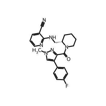 Cn1cc(-c2ccc(F)cc2)c(C(=O)N2CCCC[C@H]2CNc2ncccc2C#N)n1